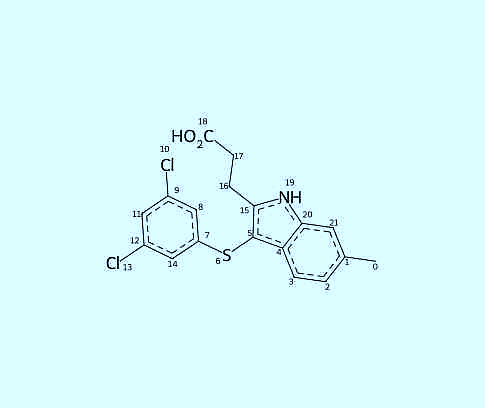 Cc1ccc2c(Sc3cc(Cl)cc(Cl)c3)c(CCC(=O)O)[nH]c2c1